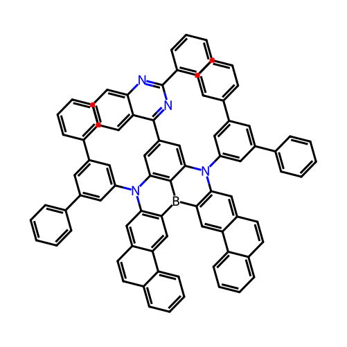 c1ccc(-c2cc(-c3ccccc3)cc(N3c4cc5ccc6ccccc6c5cc4B4c5cc6c(ccc7ccccc76)cc5N(c5cc(-c6ccccc6)cc(-c6ccccc6)c5)c5cc(-c6nc(-c7ccccc7)nc7ccccc67)cc3c54)c2)cc1